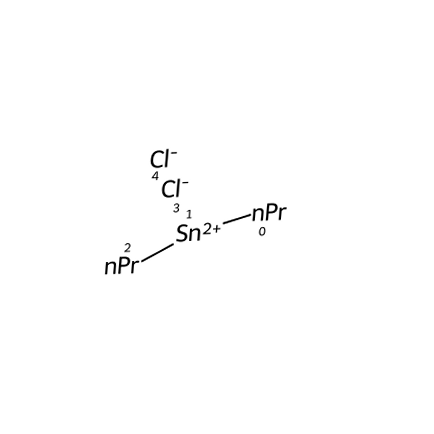 CC[CH2][Sn+2][CH2]CC.[Cl-].[Cl-]